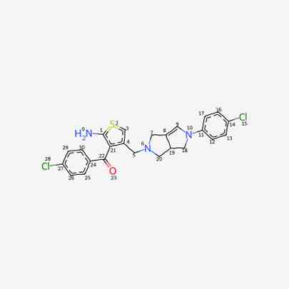 Nc1scc(CN2CC3=CN(c4ccc(Cl)cc4)CC3C2)c1C(=O)c1ccc(Cl)cc1